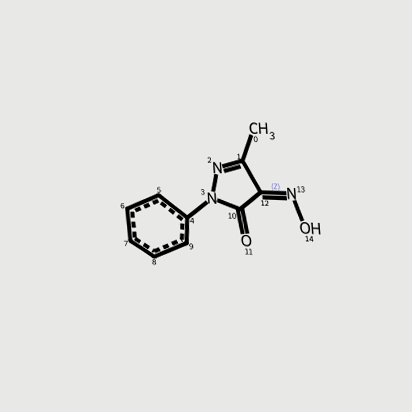 CC1=NN(c2ccccc2)C(=O)/C1=N\O